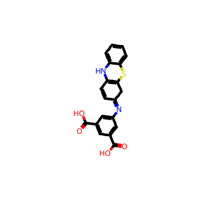 O=C(O)c1cc(N=C2C=CC3=C(C2)Sc2ccccc2N3)cc(C(=O)O)c1